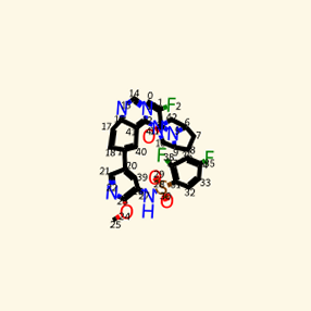 C=C(F)C(=O)N1C2CCC1CN(c1ncnc3ccc(-c4cnc(OC)c(NS(=O)(=O)c5ccc(F)cc5F)c4)cc13)C2